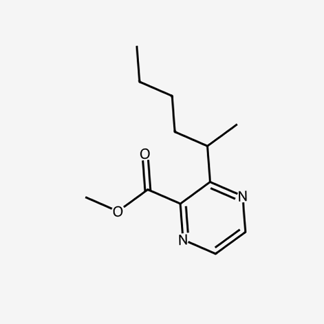 CCCCC(C)c1nccnc1C(=O)OC